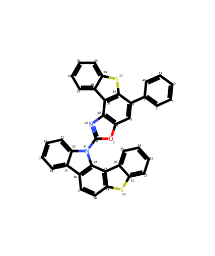 c1ccc(-c2cc3oc(-n4c5ccccc5c5ccc6sc7ccccc7c6c54)nc3c3c2sc2ccccc23)cc1